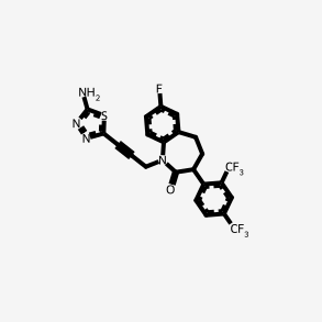 Nc1nnc(C#CCN2C(=O)C(c3ccc(C(F)(F)F)cc3C(F)(F)F)CCc3cc(F)ccc32)s1